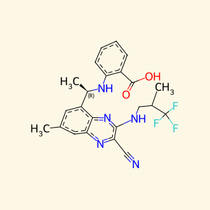 Cc1cc([C@@H](C)Nc2ccccc2C(=O)O)c2nc(NCC(C)C(F)(F)F)c(C#N)nc2c1